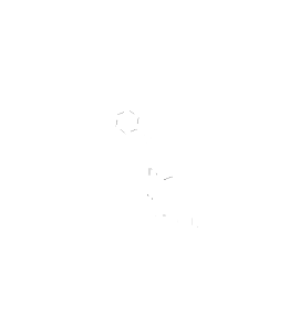 CNC(CC(C)C)C(=O)NCCOc1cc(F)cc(C(F)(F)F)c1